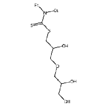 CCN(CC)C(=S)SCC(O)COCC(O)CO